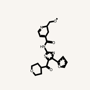 COCC1CC(C(=O)Nc2nc(-c3ccco3)c(C(=O)C3CCOCC3)s2)=CC=N1